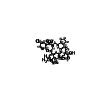 CC[C@@H]1CN(Cc2cc([C@@H](c3ccc4c(nnn4C)c3C)C(C)(C)C(=O)O)cc3c2CCC3)S(=O)(=O)c2cc(Cl)cnc2O1